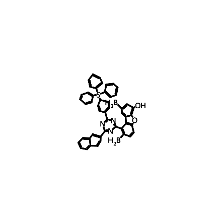 Bc1cc(O)c2oc3ccc(B)c(-c4nc(C5=CCC(S(c6ccccc6)(c6ccccc6)c6ccccc6)C=C5)nc(-c5ccc6ccccc6c5)n4)c3c2c1